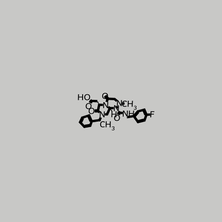 C[C@@H](c1ccccc1)N1C[C@H]2N(C(=O)CN(C)N2C(=O)NCc2ccc(F)cc2)[C@@H](CC(=O)O)C1=O